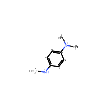 CCCN(CCC)c1ccc(NC(=O)O)cc1